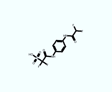 O=C(Nc1ccc(NC(=O)C(F)(F)S(=O)(=O)O)cc1)C(F)F